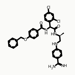 C[C@@H](CNc1ccc(C(=N)N)cc1)NC(=O)C(NC(=O)c1ccc(OCc2ccccc2)cc1)c1ccc(Cl)cc1Cl